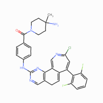 CC1(N)CCN(C(=O)c2ccc(Nc3ncc4c(n3)C3=CN=C(Cl)C=C(c5c(F)cccc5F)C3=CC4)cc2)CC1